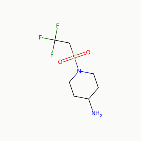 NC1CCN(S(=O)(=O)CC(F)(F)F)CC1